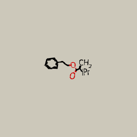 C=C(C(=O)OCCc1ccccc1)C(C)C